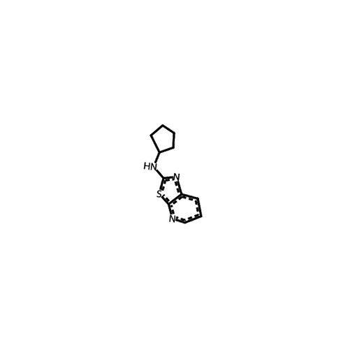 c1cnc2sc(NC3CCCC3)nc2c1